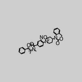 C[C@@H]([C@@H](O)c1ccccc1)N(C)C(=O)c1ccc(N2CCC(N3C(=O)OCc4ccccc43)CC2)c([N+](=O)[O-])c1